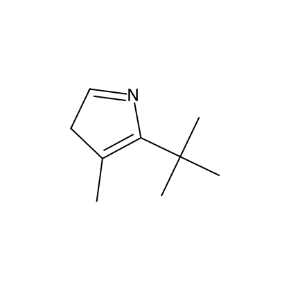 CC1=C(C(C)(C)C)N=CC1